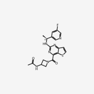 CC(=O)NC1CN(C(=O)c2nc(N[C@@H](C)c3cncc(F)c3)nc3ccsc23)C1